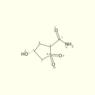 NC(=O)C1[CH][C@@H](O)CS1(=O)=O